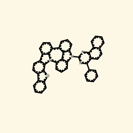 c1ccc(-c2nc(-n3c4cccc5c6cccc7c8ccc9c%10ccccc%10oc9c8n(c8cccc3c8c54)c67)nc3c2ccc2ccccc23)cc1